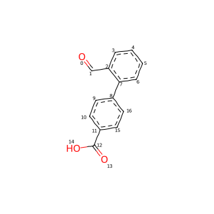 O=Cc1ccccc1-c1ccc(C(=O)O)cc1